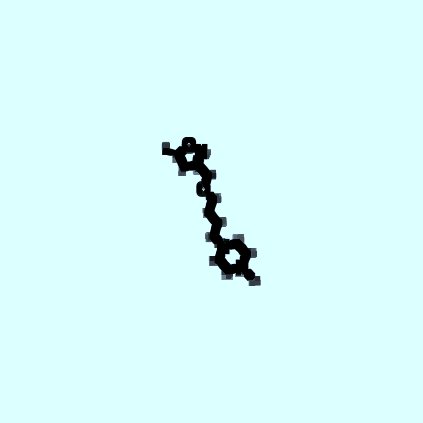 C[C@@H]1CC(COCCCCN2CCN(C)CC2)=NO1